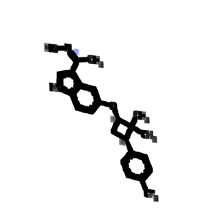 C/C(=N/O)c1c[nH]c2ccc(O[C@@H]3C[C@H](c4ccc(C(F)(F)F)cc4)C3(C)C)cc12